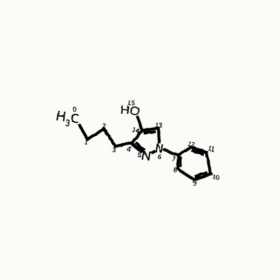 CCCCc1nn(-c2ccccc2)cc1O